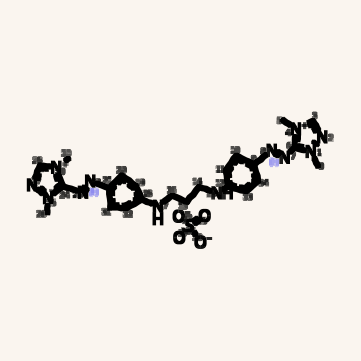 Cn1nc[n+](C)c1/N=N/c1ccc(NCCCNc2ccc(/N=N/c3n(C)nc[n+]3C)cc2)cc1.O=S(=O)([O-])[O-]